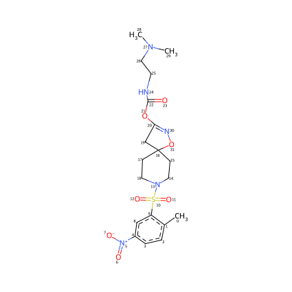 Cc1ccc([N+](=O)[O-])cc1S(=O)(=O)N1CCC2(CC1)CC(OC(=O)NCCN(C)C)=NO2